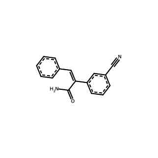 N#Cc1cccc(C(=Cc2ccccc2)C(N)=O)c1